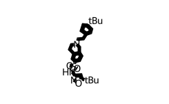 CC(C)(C)c1ccc(CCN2CCc3cc(S(=O)(=O)Nc4cc(C(C)(C)C)on4)ccc3C2)cc1